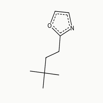 CC(C)(C)CCc1ncco1